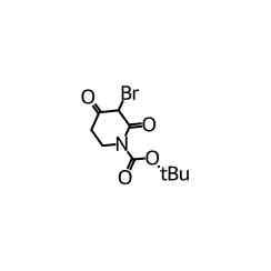 CC(C)(C)OC(=O)N1CCC(=O)C(Br)C1=O